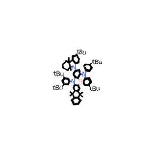 CC(C)(C)c1ccc(N2c3ccc(C(C)(C)C)cc3B3c4cc5c(cc4N(c4cc(C(C)(C)C)cc(C(C)(C)C)c4)c4cc(N6c7ccc(C(C)(C)C)cc7C7(C)CCCCC67C)cc2c43)C(C)(C)c2ccccc2C5(C)C)cc1